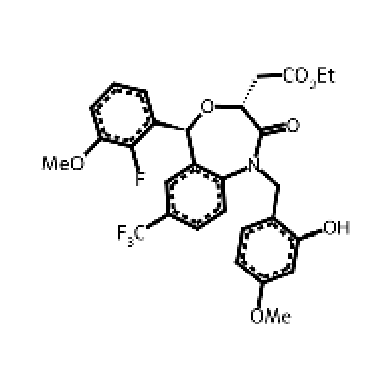 CCOC(=O)C[C@H]1O[C@H](c2cccc(OC)c2F)c2cc(C(F)(F)F)ccc2N(Cc2ccc(OC)cc2O)C1=O